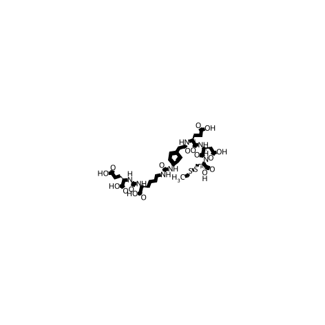 CCSSC[C@H](NC(=O)[C@H](CC(=O)O)NC(=O)[C@H](CCC(=O)O)NC(=O)Cc1ccc(NC(=O)NCCCC[C@H](NC(=O)N[C@@H](CCC(=O)O)C(=O)O)C(=O)O)cc1)C(=O)O